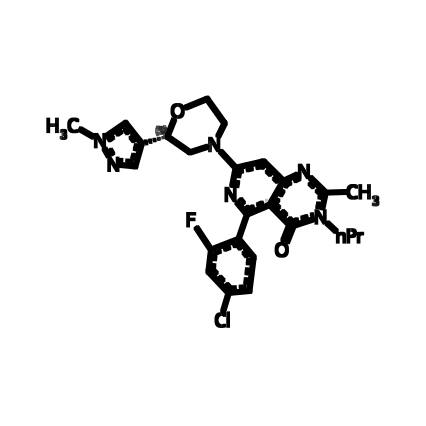 CCCn1c(C)nc2cc(N3CCO[C@@H](c4cnn(C)c4)C3)nc(-c3ccc(Cl)cc3F)c2c1=O